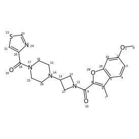 COc1ccc2c(C)c(C(=O)N3CC(N4CCN(C(=O)c5cscn5)CC4)C3)oc2c1